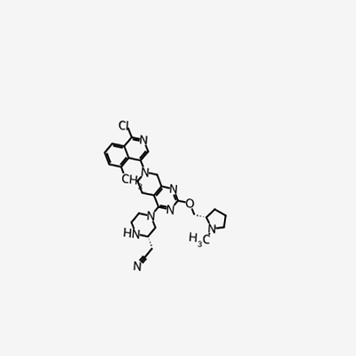 Cc1cccc2c(Cl)ncc(N3CCc4c(nc(OC[C@@H]5CCCN5C)nc4N4CCN[C@@H](CC#N)C4)C3)c12